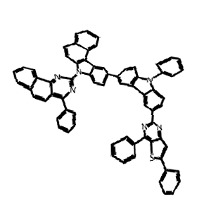 c1ccc(-c2cc3nc(-c4ccc5c(c4)c4cc(-c6ccc7c(c6)c6c8ccccc8ccc6n7-c6nc(-c7ccccc7)c7ccc8ccccc8c7n6)ccc4n5-c4ccccc4)nc(-c4ccccc4)c3s2)cc1